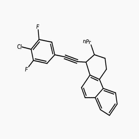 CCCC1CCc2c(ccc3ccccc23)C1C#Cc1cc(F)c(Cl)c(F)c1